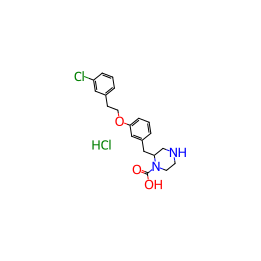 Cl.O=C(O)N1CCNCC1Cc1cccc(OCCc2cccc(Cl)c2)c1